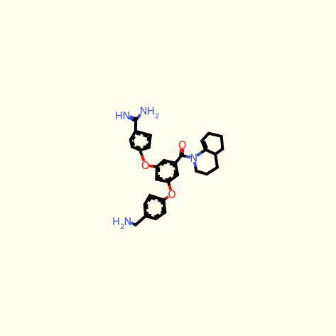 N=C(N)c1ccc(Oc2cc(Oc3ccc(CN)cc3)cc(C(=O)N3CCCC4CCCC=C43)c2)cc1